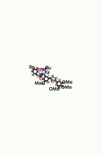 CCC(C)N(O)C(=O)Nc1cc(C2CCC(c3cc(OC)c(OC)c(OC)c3)O2)cc(OC)c1OC(C)Sc1ccc(Br)cc1